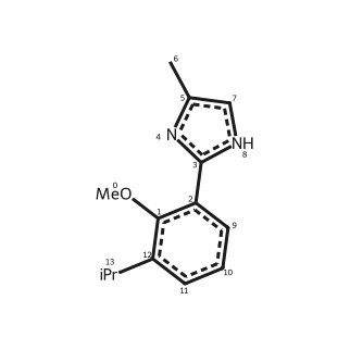 COc1c(-c2nc(C)c[nH]2)cccc1C(C)C